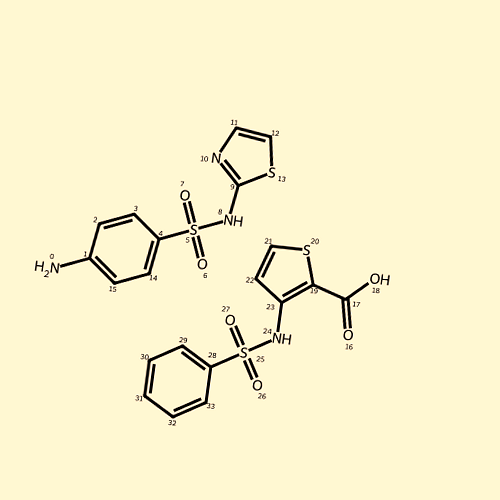 Nc1ccc(S(=O)(=O)Nc2nccs2)cc1.O=C(O)c1sccc1NS(=O)(=O)c1ccccc1